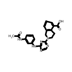 CC(=O)Nc1cccc(Nc2ncnc(N3CCc4c(cccc4C(=O)O)C3)n2)c1